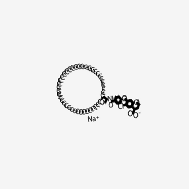 O=C(NC1COC2(CCCCCCCCCCCCCCCCCCCCCCCCCCCCCCCCCCCCCCCCC2)C1)c1ccc(Oc2cc3c(cc2Cl)C(C(=O)[O-])CCO3)cc1.[Na+]